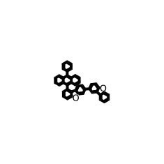 c1ccc(-c2c3ccccc3c(-c3cccc4oc5cc(-c6ccc7oc8ccccc8c7c6)ccc5c34)c3ccccc23)cc1